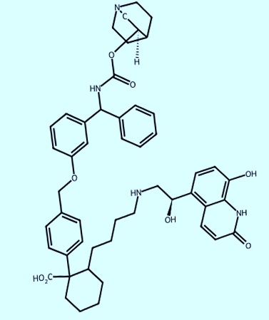 O=C(NC(c1ccccc1)c1cccc(OCc2ccc(C3(C(=O)O)CCCCC3CCCCNC[C@H](O)c3ccc(O)c4[nH]c(=O)ccc34)cc2)c1)O[C@H]1CN2CCC1CC2